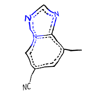 Cc1cc(C#N)cn2ncnc12